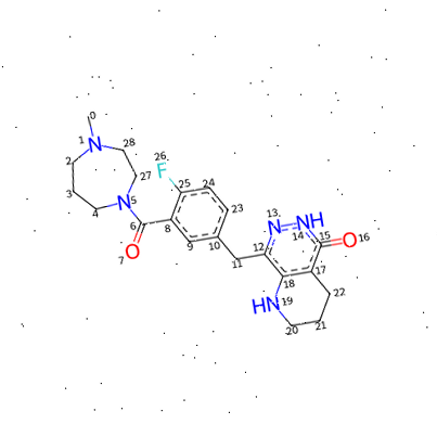 CN1CCCN(C(=O)c2cc(Cc3n[nH]c(=O)c4c3NCCC4)ccc2F)CC1